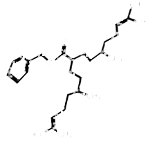 CC(C)=CCCC(C)CCC(CCC(C)CCC=C(C)C)C(=O)OCc1ccccc1